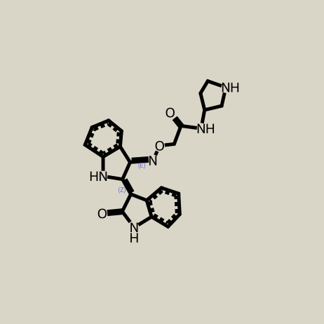 O=C(CO/N=C1/C(=C2/C(=O)Nc3ccccc32)Nc2ccccc21)NC1CCNC1